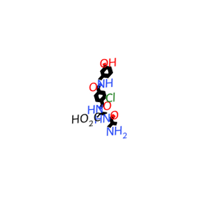 CC(CN)C(=O)NC[C@H](NC(=O)c1ccc(C(=O)NCc2cccc(O)c2)cc1Cl)C(=O)O